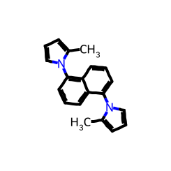 Cc1cccn1-c1cccc2c(-n3cccc3C)cccc12